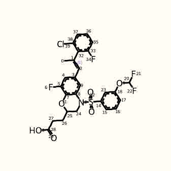 C/C(=C\c1cc(F)c2c(c1)N(S(=O)(=O)c1cccc(OC(F)F)c1)CC(CCC(=O)O)O2)c1c(F)cccc1Cl